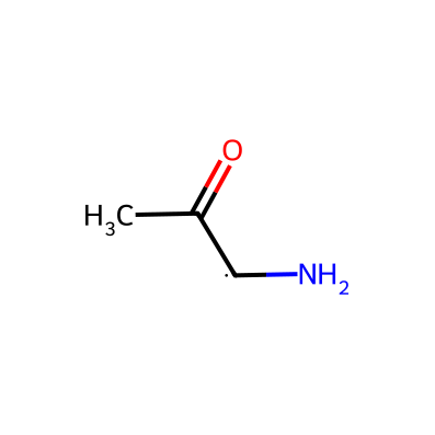 CC(=O)[CH]N